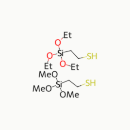 CCO[Si](CCS)(OCC)OCC.CO[Si](CCS)(OC)OC